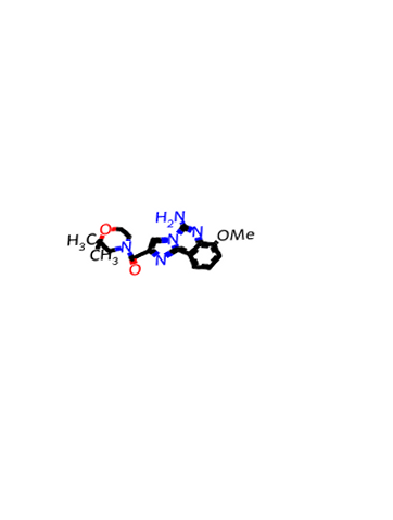 COc1cccc2c1nc(N)n1cc(C(=O)N3CCOC(C)(C)C3)nc21